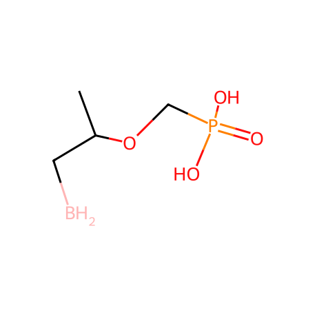 BCC(C)OCP(=O)(O)O